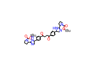 CC(C)(C)OC(=O)N1CCCC1C1=NCC(c2ccc(C(=O)CCC(=O)c3ccc(C4CN=C(C5CCCN5C(=O)OC(C)(C)C)N4)cc3)cc2)N1